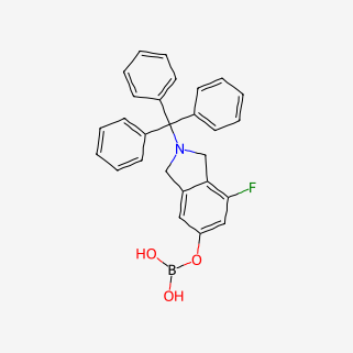 OB(O)Oc1cc(F)c2c(c1)CN(C(c1ccccc1)(c1ccccc1)c1ccccc1)C2